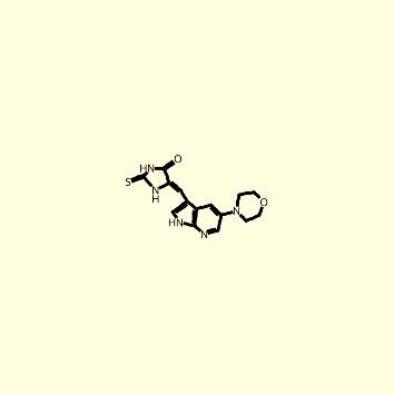 O=C1NC(=S)NC1=Cc1c[nH]c2ncc(N3CCOCC3)cc12